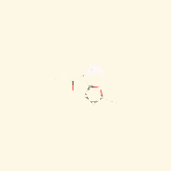 COC(=O)[C@@](C)(N)c1ccc(Br)o1.Cl